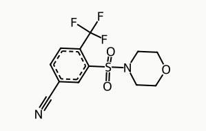 N#Cc1ccc(C(F)(F)F)c(S(=O)(=O)N2CCOCC2)c1